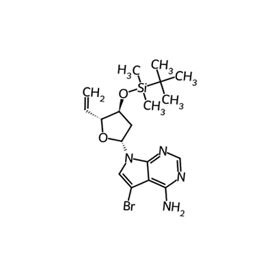 C=C[C@H]1O[C@@H](n2cc(Br)c3c(N)ncnc32)C[C@@H]1O[Si](C)(C)C(C)(C)C